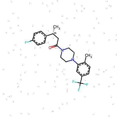 Cc1ccc(C(F)(F)F)cc1N1CCN(C(=O)C[C@@H](C)c2ccc(F)cc2)CC1